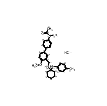 COc1ccc(-c2ccc(N(C)C(C)=O)cc2)cc1CNC1(Nc2ccc(C)cc2)CCCCC1.Cl